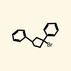 BrC1(c2ccccc2)CCC(c2ccccc2)C1